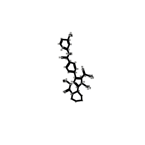 CC(C)(C)OC(=O)N1CCCCC1c1nc(-c2ccc(C(=O)Nc3cc(C#N)ccn3)cc2)c(C(N)=O)n1N